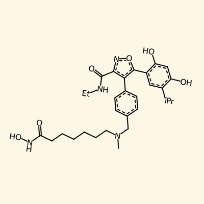 CCNC(=O)c1noc(-c2cc(C(C)C)c(O)cc2O)c1-c1ccc(CN(C)CCCCCCC(=O)NO)cc1